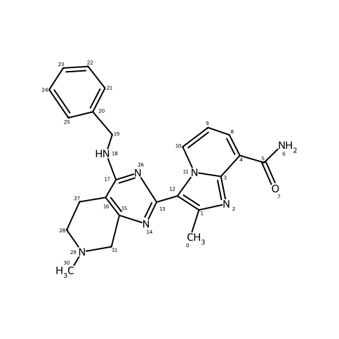 Cc1nc2c(C(N)=O)cccn2c1-c1nc2c(c(NCc3ccccc3)n1)CCN(C)C2